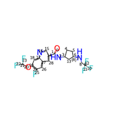 O=C(NC1CC[C@@H](NCC(F)(F)F)C1)c1cnc2cc(OC(F)F)c(F)cc2c1